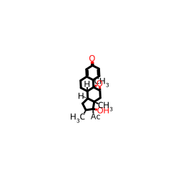 CC(=O)[C@@]1(O)[C@@H](C)C[C@H]2[C@@H]3CCC4=CC(=O)C=C[C@]4(C)C34OC4C[C@@]21C